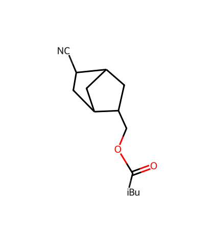 CCC(C)C(=O)OCC1CC2CC1CC2C#N